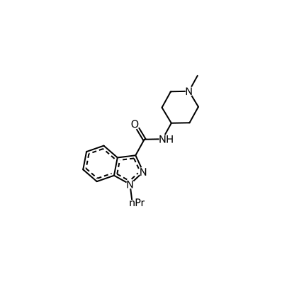 CCCn1nc(C(=O)NC2CCN(C)CC2)c2ccccc21